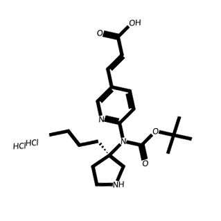 CCCC[C@@]1(N(C(=O)OC(C)(C)C)c2ccc(/C=C/C(=O)O)cn2)CCNC1.Cl.Cl